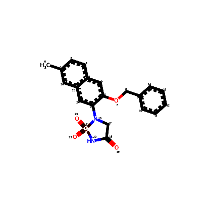 Cc1ccc2cc(OCc3ccccc3)c(N3CC(=O)NS3(=O)=O)cc2c1